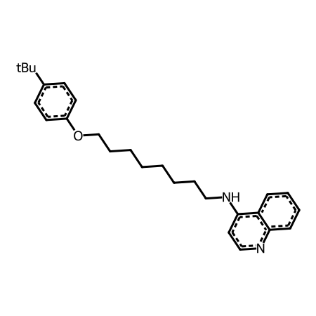 CC(C)(C)c1ccc(OCCCCCCCCNc2ccnc3ccccc23)cc1